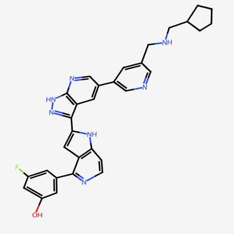 Oc1cc(F)cc(-c2nccc3[nH]c(-c4n[nH]c5ncc(-c6cncc(CNCC7CCCC7)c6)cc45)cc23)c1